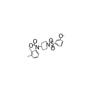 COc1cccc(S(=O)(=O)N2CCC(N3C(=O)OCc4c(C)cccc43)CC2)c1